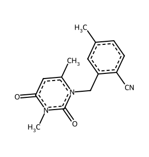 Cc1ccc(C#N)c(Cn2c(C)cc(=O)n(C)c2=O)c1